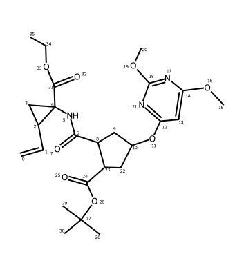 C=CC1CC1(NC(=O)C1CC(Oc2cc(OC)nc(OC)n2)CC1C(=O)OC(C)(C)C)C(=O)OCC